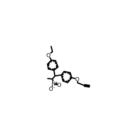 C#CCOc1ccc(C(c2ccc(OCC)cc2)C(C)[N+](=O)[O-])cc1